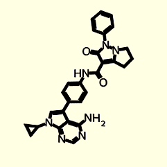 Nc1ncnc2c1c(-c1ccc(NC(=O)c3c4n(n(-c5ccccc5)c3=O)CCC4)cc1)cn2C1CC1